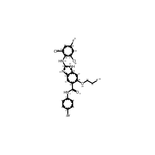 O=C(Nc1ccc(Br)cc1)c1cc2nc(Nc3c(Cl)cc(F)cc3Cl)[nH]c2cc1OCCF